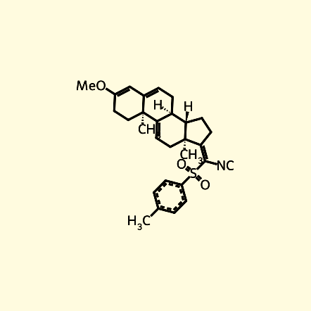 [C-]#[N+]/C(=C1\CC[C@H]2[C@@H]3CC=C4C=C(OC)CC[C@]4(C)C3=CC[C@]12C)S(=O)(=O)c1ccc(C)cc1